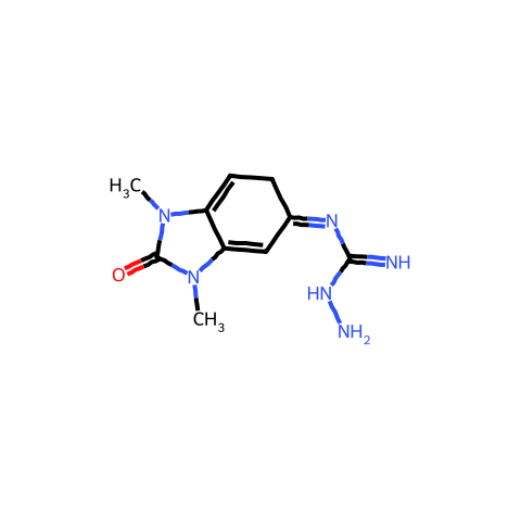 Cn1c2c(n(C)c1=O)=CC(=NC(=N)NN)CC=2